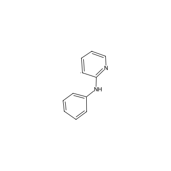 [c]1cccnc1Nc1ccccc1